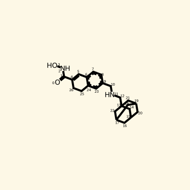 O=C(NO)C1=Cc2ccc(CNCC34CC5CC(CC(C5)C3)C4)cc2CC1